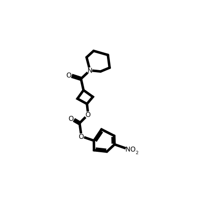 O=C(Oc1ccc([N+](=O)[O-])cc1)OC1CC(C(=O)N2CCCCC2)C1